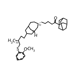 COc1ccccc1SC[C@@H](C)CCC1CC2CC[C@H](CCCCC(=O)C34CC5CC(CC(C5)C3)C4)C[C@H](C1)C2